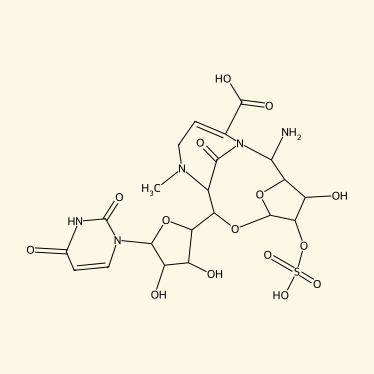 CN1CC=C(C(=O)O)N2C(=O)C1C(C1OC(n3ccc(=O)[nH]c3=O)C(O)C1O)OC1OC(C(O)C1OS(=O)(=O)O)C2N